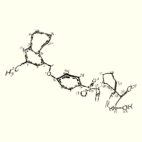 Cc1cc(COc2ccc(S(=O)(=O)N[C@@H]3CCC[C@]3(F)C(=O)NO)cc2)c2ccccc2n1